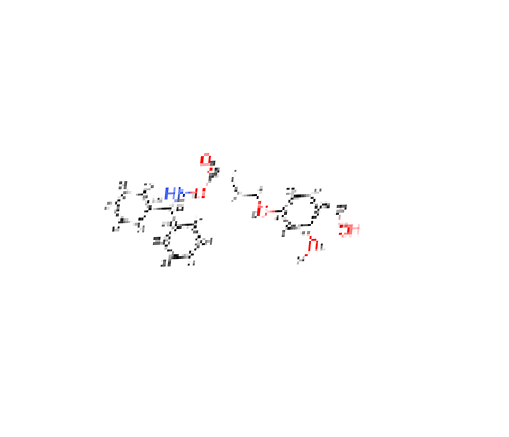 COc1cc(OCCCC(=O)ONC(c2ccccc2)c2ccccc2)ccc1CO